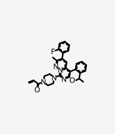 C=CC(=O)N1CCN(c2nc(=O)c(-c3ccccc3C(C)C)c3cc(-c4ccccc4F)c(C)nn23)CC1